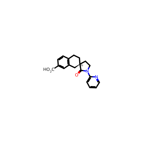 O=C(O)c1ccc2c(c1)C[C@@]1(CC2)CCN(c2ccccn2)C1=O